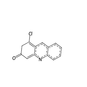 O=C1C=c2nc3ccccc3cc2=C(Cl)C1